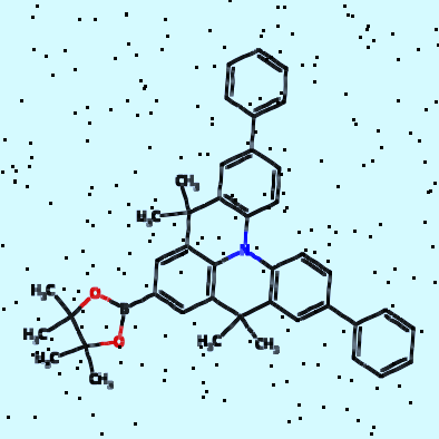 CC1(C)c2cc(-c3ccccc3)ccc2N2c3ccc(-c4ccccc4)cc3C(C)(C)c3cc(B4OC(C)(C)C(C)(C)O4)cc1c32